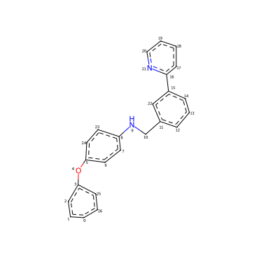 c1ccc(Oc2ccc(NCc3cccc(-c4ccccn4)c3)cc2)cc1